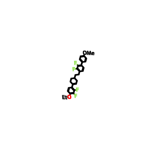 CCOc1ccc(C2=CCC(CCc3ccc(-c4ccc(OC)cc4)c(F)c3F)CC2)c(F)c1F